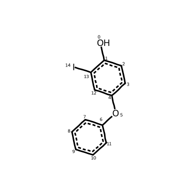 Oc1ccc(Oc2ccccc2)cc1I